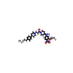 CCCc1ccc(C2CCN(CCC(=O)N3CCC(Nc4ccc([N+](=O)[O-])c(OC)c4)CC3)CC2)cc1